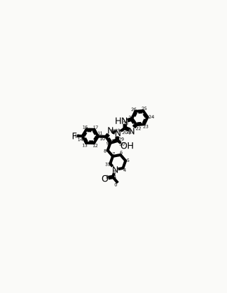 CC(=O)N1CCCC(Cc2c(-c3ccc(F)cc3)nn(-c3nc4ccccc4[nH]3)c2O)C1